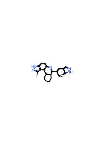 Ic1n[nH]c2ccc3nc(-c4ccc5[nH]ncc5c4)c4c(c3c12)CCCC4